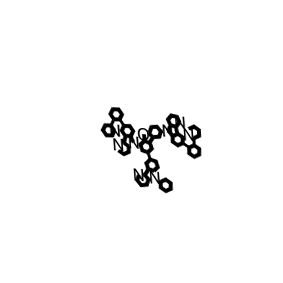 c1ccc(-n2c3ccc(-c4cc(-n5c6ccc(-c7ccccc7-c7ccccn7)cc6c6ncccc65)c5oc6ccc(-n7c8ccc(-c9ccccc9-c9ccccn9)cc8c8ncccc87)cc6c5c4)cc3c3ncccc32)cc1